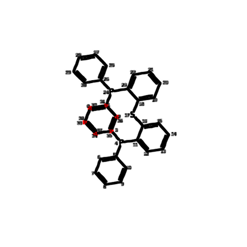 c1ccc(P(c2ccccc2)c2ccccc2Sc2ccccc2P(c2ccccc2)c2ccccc2)cc1